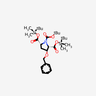 CC(C)(C)OC(=O)N1[C@@H](C(=O)O[Si](C)(C)C(C)(C)C)C[C@H](OCc2ccccc2)[C@H]1C(=O)O[Si](C)(C)C(C)(C)C